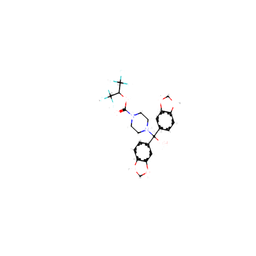 O=C(OC(C(F)(F)F)C(F)(F)F)N1CCN(C(O)(c2ccc3c(c2)OCO3)c2ccc3c(c2)OCO3)CC1